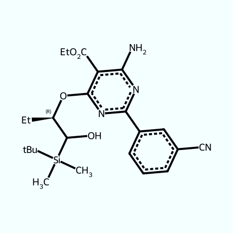 CCOC(=O)c1c(N)nc(-c2cccc(C#N)c2)nc1O[C@H](CC)C(O)[Si](C)(C)C(C)(C)C